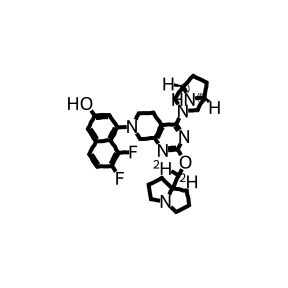 [2H]C([2H])(Oc1nc2c(c(N3C[C@H]4CC[C@@H](C3)N4)n1)CCN(c1cc(O)cc3ccc(F)c(F)c13)C2)C12CCCN1CCC2